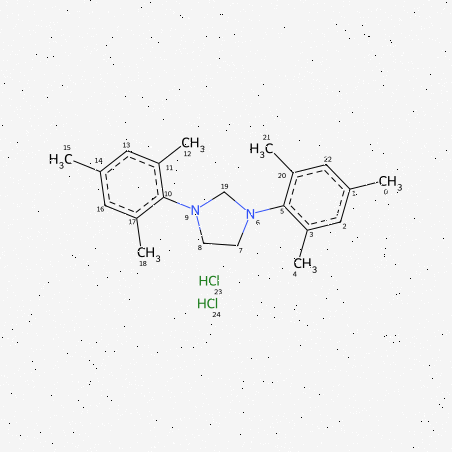 Cc1cc(C)c(N2CCN(c3c(C)cc(C)cc3C)C2)c(C)c1.Cl.Cl